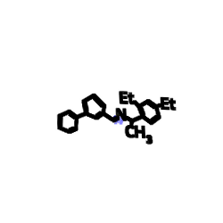 CCc1ccc(C(C)/N=C/c2cccc(-c3ccccc3)c2)c(CC)c1